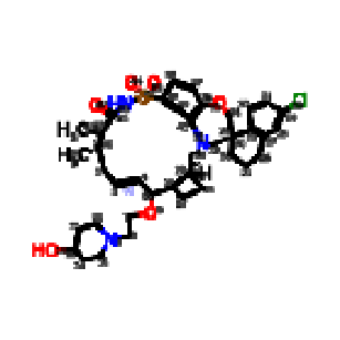 C[C@H]1C/C=C/[C@H](OCCN2CCC(O)CC2)C2CC[C@H]2CN2C[C@@]3(CCCc4cc(Cl)ccc43)COc3ccc(cc32)S(=O)(=O)NC(=O)[C@@H]1C